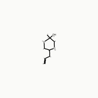 C=CCC1COC(C)(O)CO1